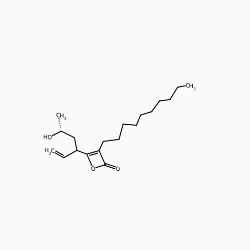 C=CC(C[C@@H](C)O)C1=C(CCCCCCCCCC)C(=O)O1